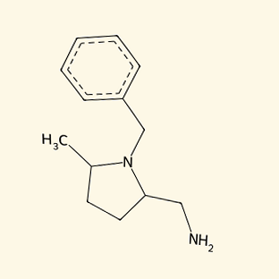 CC1CCC(CN)N1Cc1ccccc1